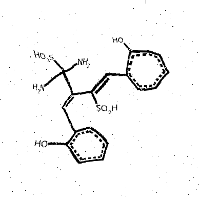 NC(N)(C(=C/c1ccccc1O)/C(=C/c1ccccc1O)S(=O)(=O)O)S(=O)(=O)O